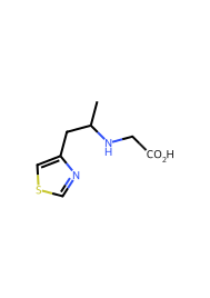 CC(Cc1cscn1)NCC(=O)O